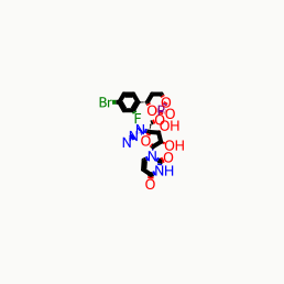 [N-]=[N+]=N[C@]1(COP2(=O)OCC[C@@H](c3ccc(Br)cc3F)O2)O[C@@H](n2ccc(=O)[nH]c2=O)[C@H](O)[C@@H]1O